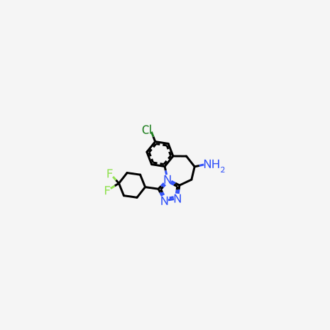 NC1Cc2cc(Cl)ccc2-n2c(nnc2C2CCC(F)(F)CC2)C1